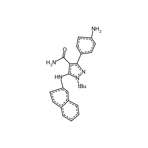 CC(C)(C)n1nc(-c2ccc(N)cc2)c(C(N)=O)c1Nc1ccc2ccccc2c1